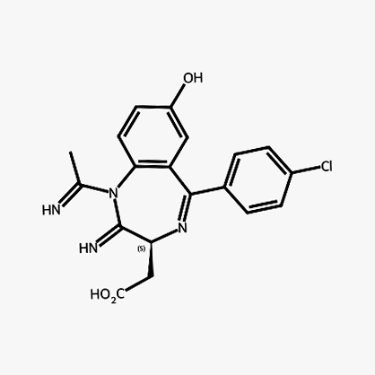 CC(=N)N1C(=N)[C@H](CC(=O)O)N=C(c2ccc(Cl)cc2)c2cc(O)ccc21